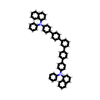 c1ccc(N(c2ccc(-c3ccc(-c4cccc(-c5ccc(-c6ccc(N(c7ccccc7)c7cccc8ccccc78)cc6)cc5)c4)cc3)cc2)c2cccc3ccccc23)cc1